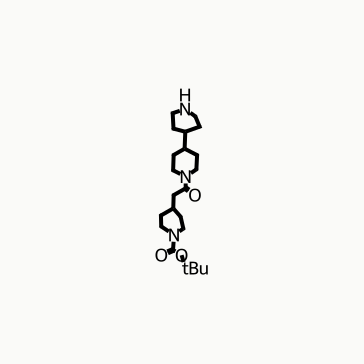 CC(C)(C)OC(=O)N1CCC(CC(=O)N2CCC(C3CCNCC3)CC2)CC1